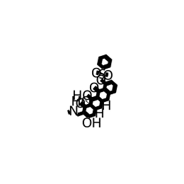 C=NCC1=C(O)C[C@@H]2C[C@@H]3Cc4cccc(OS(=O)(=O)c5ccccc5)c4C(=O)C3=C(O)[C@]2(O)C1=O